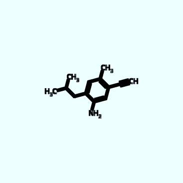 C#Cc1cc(N)c(CC(C)C)cc1C